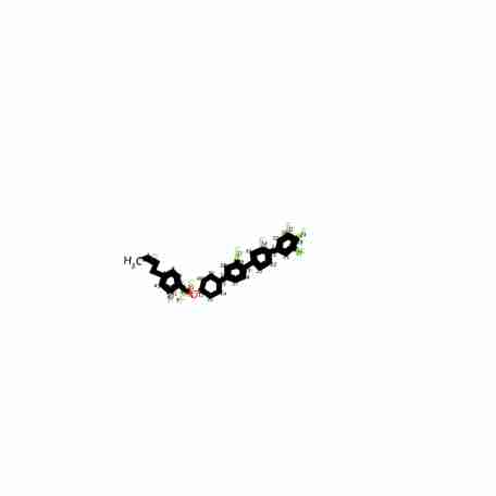 C/C=C\Cc1ccc(C(F)(F)OC2CCC(c3ccc(-c4ccc(-c5cc(F)c(F)c(F)c5)c(F)c4)c(F)c3)CC2)c(F)c1